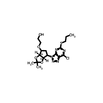 CCCSc1nc(Cl)c2nnn(C3CC(OCCO)[C@H]4OC(C)(C)O[C@@H]34)c2n1